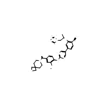 COc1cc(C(=O)N2CCC3(CC2)CNC3)ccc1Nc1ncc(-c2ccc(C#N)c(OC(C)Cn3cnnn3)c2)cn1